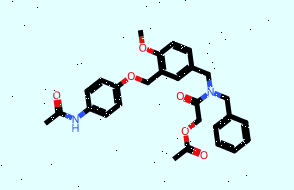 COc1ccc(CN(Cc2ccccc2)C(=O)COC(C)=O)cc1COc1ccc(NC(C)=O)cc1